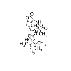 C=C1C(=O)O[C@H]2CC3=CC(C/C(C)=C/[C@@H](OC(=O)CC(O)(C(C)C)C(C)C)[C@H]12)OC3=O